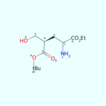 CCOC(=O)C(N)C[C@H](CO)C(=O)OC(C)(C)C